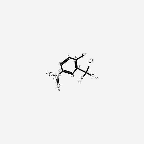 O=[N+]([O-])c1[c]cc(F)c(C(F)(F)F)c1